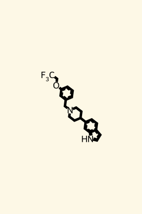 FC(F)(F)COc1cccc(CN2CCC(c3ccc4cc[nH]c4c3)CC2)c1